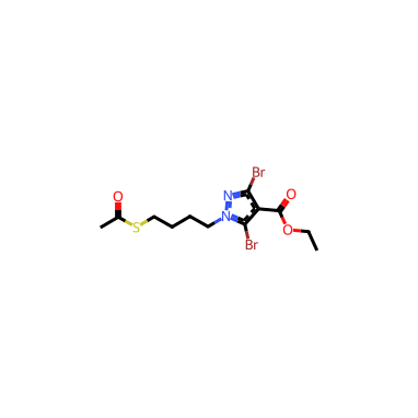 CCOC(=O)c1c(Br)nn(CCCCSC(C)=O)c1Br